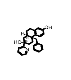 Oc1ccc2c(c1)CC[C@@H]1C[C@@](O)(c3ccccn3)CC[C@@]21Cc1ccccc1